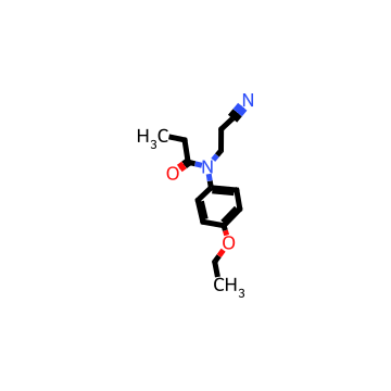 CCOc1ccc(N(CCC#N)C(=O)CC)cc1